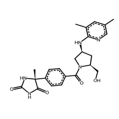 Cc1cnc(N[C@H]2C[C@@H](CO)N(C(=O)c3ccc([C@@]4(C)NC(=O)NC4=O)cc3)C2)c(C)c1